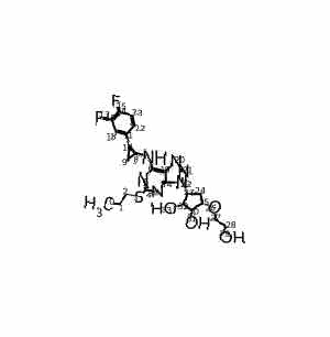 CCCSc1nc(NC2C[C@H]2c2ccc(F)c(F)c2)c2nnn([C@@H]3C[C@H](OCCO)[C@@H](O)[C@H]3O)c2n1